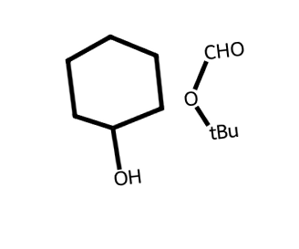 CC(C)(C)OC=O.OC1CCCCC1